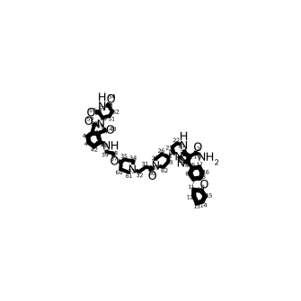 NC(=O)c1c(-c2ccc(Oc3ccccc3)cc2)nn2c1NCC[C@H]2C1CCN(C(=O)CCN2CCC(OCCNc3cccc4c3C(=O)N(C3CCC(=O)NC3=O)C4=O)CC2)CC1